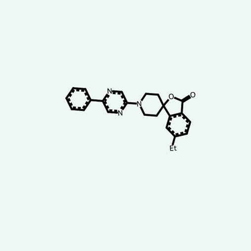 CCc1ccc2c(c1)C1(CCN(c3cnc(-c4ccccc4)cn3)CC1)OC2=O